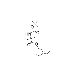 CCC(CC)CCOC(=O)C(C)(C)NC(=O)OC(C)(C)C